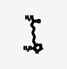 Cc1n[c]cn1CCCCCC(N)=O